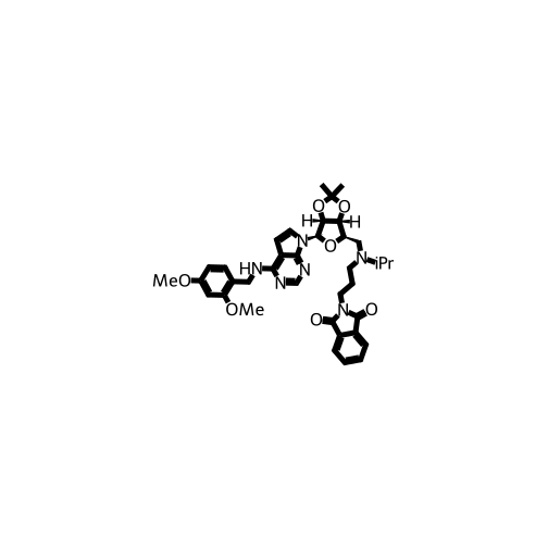 COc1ccc(CNc2ncnc3c2ccn3[C@@H]2O[C@H](CN(CCCN3C(=O)c4ccccc4C3=O)C(C)C)[C@H]3OC(C)(C)O[C@H]32)c(OC)c1